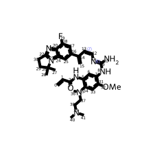 C=CC(=O)Nc1cc(N/C(N)=N/C=C\C(=C)c2cc(F)c3nc4n(c3c2)C(C)(C)CC4)c(OC)cc1N(C)CCN(C)C